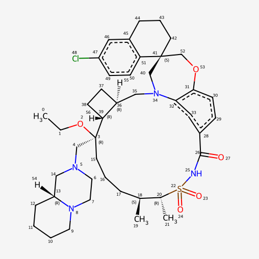 CCO[C@]1(CN2CCN3CCCC[C@@H]3C2)CCC[C@H](C)[C@@H](C)S(=O)(=O)NC(=O)c2ccc3c(c2)N(C[C@@H]2CC[C@H]21)C[C@@]1(CCCc2cc(Cl)ccc21)CO3